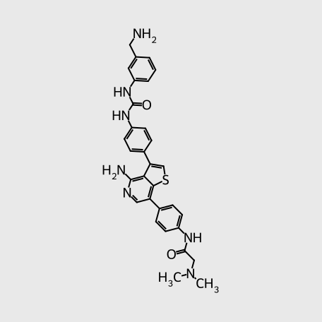 CN(C)CC(=O)Nc1ccc(-c2cnc(N)c3c(-c4ccc(NC(=O)Nc5cccc(CN)c5)cc4)csc23)cc1